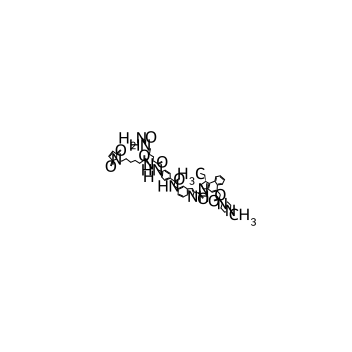 CC[C@@H]1CN(C(=O)c2cc3cc(NC(=O)c4ccc(NC(=O)[C@H](CCCNC(N)=O)NC(=O)CCCCCN5C(=O)C=CC5=O)cc4)ccc3[nH]2)c2cc(OC(=O)N3CCN(C)CC3)c3ccccc3c21